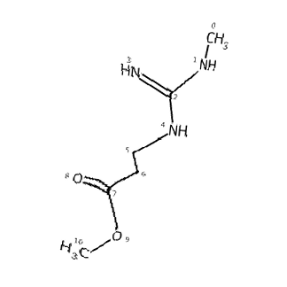 CNC(=N)NCCC(=O)OC